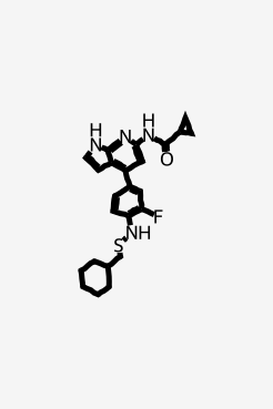 O=C(Nc1cc(-c2ccc(NSCC3CCCCC3)c(F)c2)c2cc[nH]c2n1)C1CC1